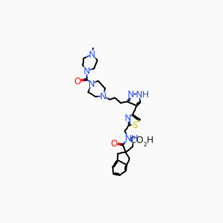 CN1CCN(C(=O)N2CCN(CCCc3n[nH]cc3-c3csc(CNC(=O)C4(CC(=O)O)Cc5ccccc5C4)n3)CC2)CC1